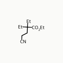 CCOC(=O)C(CC)(CC)CCC#N